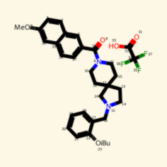 COc1ccc2cc(C(=O)N3CCC4(CCN(Cc5ccccc5OCC(C)C)C4)CC3)ccc2c1.O=C(O)C(F)(F)F